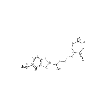 CCN(CCCCN1CCNCCC1=O)C1Cc2ccc(OC)cc2C1